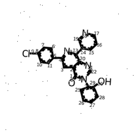 O=c1c2cc(-c3ccc(Cl)cc3)nc(-c3cccnc3)c2ncn1-c1ccccc1O